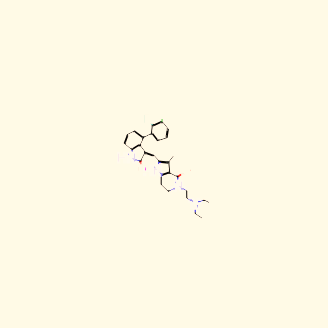 CCN(CC)CCN1CCc2[nH]c(C=C3C(=O)Nc4cccc(-c5cccc(Cl)c5F)c43)c(C)c2C1=O